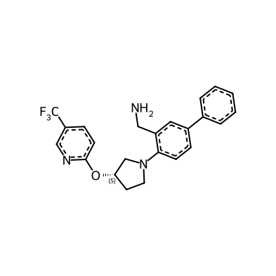 NCc1cc(-c2ccccc2)ccc1N1CC[C@H](Oc2ccc(C(F)(F)F)cn2)C1